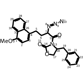 COc1ccc(CCC(N=[N+]=[N-])C(=O)N2C(=O)OCC2Cc2ccccc2)c2ccccc12